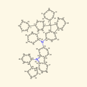 c1ccc(-c2ccc(C3(c4ccccc4)c4ccccc4-c4ccc(N(c5ccccc5)c5ccc6c7ccccc7n(-c7ccccc7-c7ccccc7)c6c5)cc43)cc2)cc1